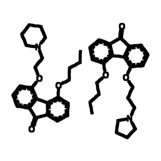 CCCCOc1cccc2c1-c1c(OCCCN3CCCC3)cccc1C2=O.CCCCOc1cccc2c1-c1c(OCCN3CCCCC3)cccc1C2=O